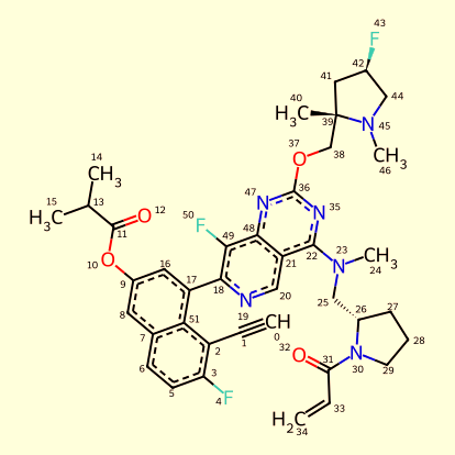 C#Cc1c(F)ccc2cc(OC(=O)C(C)C)cc(-c3ncc4c(N(C)C[C@@H]5CCCN5C(=O)C=C)nc(OC[C@]5(C)C[C@@H](F)CN5C)nc4c3F)c12